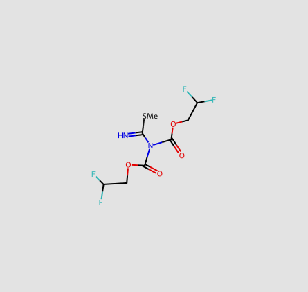 CSC(=N)N(C(=O)OCC(F)F)C(=O)OCC(F)F